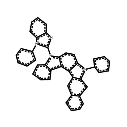 c1ccc(-n2c(-n3c4ccccc4c4c5c6cc7ccccc7cc6n(-c6ccccc6)c5ccc43)nc3ccccc32)cc1